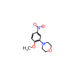 COc1ccc([N+](=O)[O-])cc1N1CCOCC1